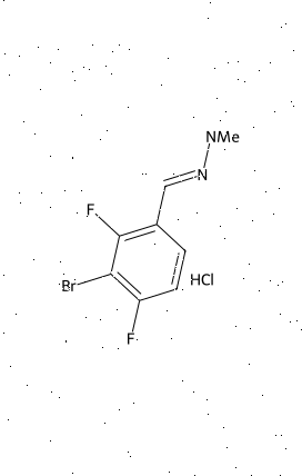 CN/N=C/c1ccc(F)c(Br)c1F.Cl